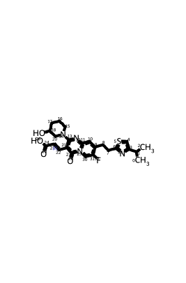 CC(C)c1csc(CCc2cc3nc(N4CCCC(O)C4)c(/C=C/C(=O)O)c(=O)n3cc2F)n1